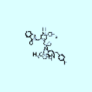 C[C@@H]1CN(CC(=O)N2CC(C)(C)c3cnc(Cc4ccc(F)cc4)cc32)C(CN2Cc3ccccc3C2=O)CN1